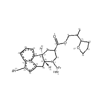 Br.CCCN1CC(C(=O)OCC(C)C2CCCO2)C[C@@H]2c3cccc4c3c(cn4C(C)C)C[C@H]21